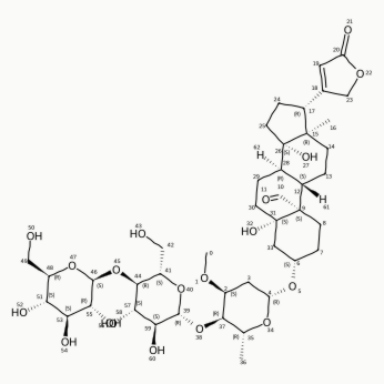 CO[C@H]1C[C@H](O[C@H]2CC[C@]3(C=O)[C@H]4CC[C@]5(C)[C@@H](C6=CC(=O)OC6)CC[C@]5(O)[C@@H]4CC[C@]3(O)C2)O[C@H](C)[C@H]1O[C@H]1O[C@@H](CO)[C@H](O[C@@H]2O[C@H](CO)[C@@H](O)[C@H](O)[C@H]2O)[C@@H](O)[C@@H]1O